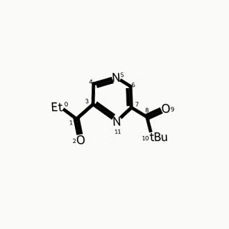 CCC(=O)c1cncc(C(=O)C(C)(C)C)n1